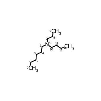 CCCCCCN(CCC)CCCC